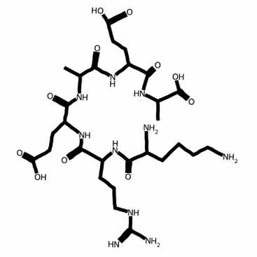 CC(NC(=O)C(CCC(=O)O)NC(=O)C(C)NC(=O)C(CCC(=O)O)NC(=O)C(CCCNC(=N)N)NC(=O)C(N)CCCCN)C(=O)O